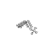 O.O.O.O.O.O.O.O.O=S(=O)([O-])[O-].[Mg+2]